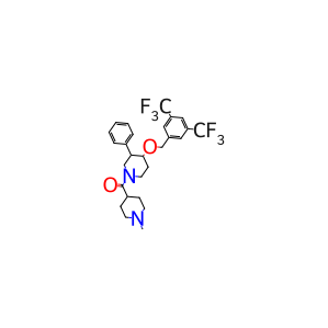 CN1CCC(C(=O)N2CCC(OCc3cc(C(F)(F)F)cc(C(F)(F)F)c3)C(c3ccccc3)C2)CC1